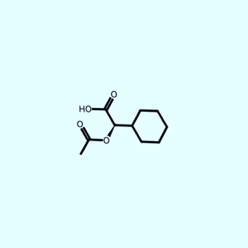 CC(=O)O[C@@H](C(=O)O)C1CCCCC1